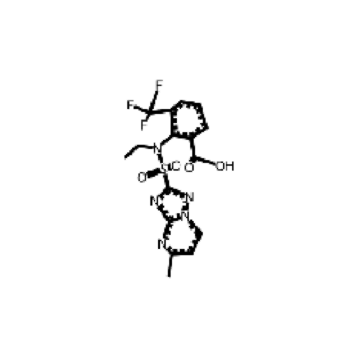 CCN(c1c(C(=O)O)cccc1C(F)(F)F)S(=O)(=O)c1nc2nc(C)ccn2n1